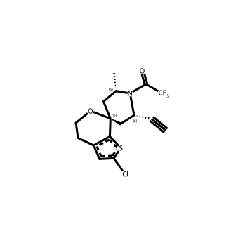 C#C[C@@H]1C[C@]2(C[C@H](C)N1C(=O)C(F)(F)F)OCCc1cc(Cl)sc12